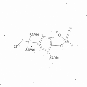 COc1cc(C(CCl)(OC)OC)ccc1OS(C)(=O)=O